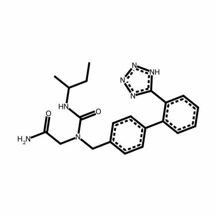 CCC(C)NC(=O)N(CC(N)=O)Cc1ccc(-c2ccccc2-c2nnn[nH]2)cc1